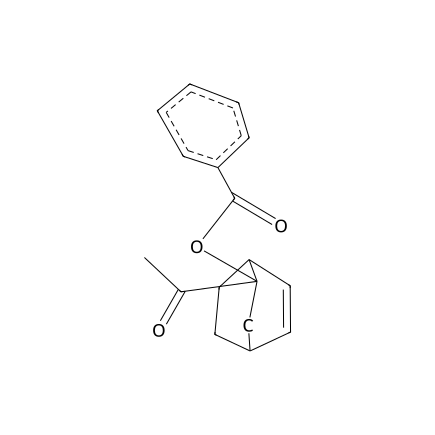 CC(=O)C1(OC(=O)c2ccccc2)CC2C=CC1CC2